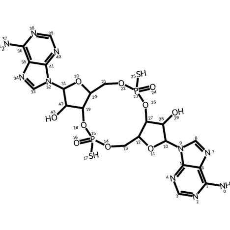 Nc1ncnc2c1ncn2C1OC2COP(=O)(S)OC3C(COP(=O)(S)OC2C1O)OC(n1cnc2c(N)ncnc21)C3O